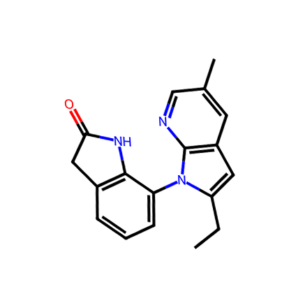 CCc1cc2cc(C)cnc2n1-c1cccc2c1NC(=O)C2